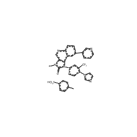 Cc1ccc(S(=O)(=O)O)cc1.Cn1c(=O)n(-c2ccc(-n3ccnc3)c(C(F)(F)F)c2)c2c3cc(-c4cccnc4)ccc3ncc21